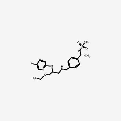 CCOCC(CNCc1ccc([C@@H](C)NS(C)(=O)=O)cc1)Oc1ccc(F)cn1